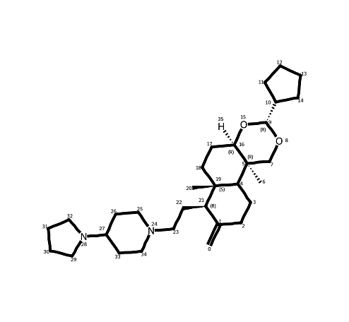 C=C1CCC2[C@]3(C)CO[C@@H](C4CCCC4)O[C@@H]3CC[C@@]2(C)[C@@H]1CCN1CCC(N2CCCC2)CC1